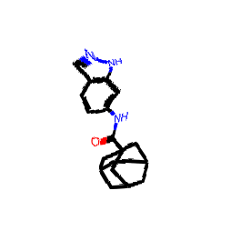 O=C(Nc1ccc2cn[nH]c2c1)C12CC3CC(CC(C3)C1)C2